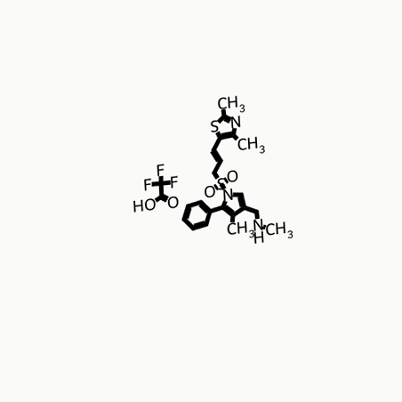 CNCc1cn(S(=O)(=O)CC=Cc2sc(C)nc2C)c(-c2ccccc2)c1C.O=C(O)C(F)(F)F